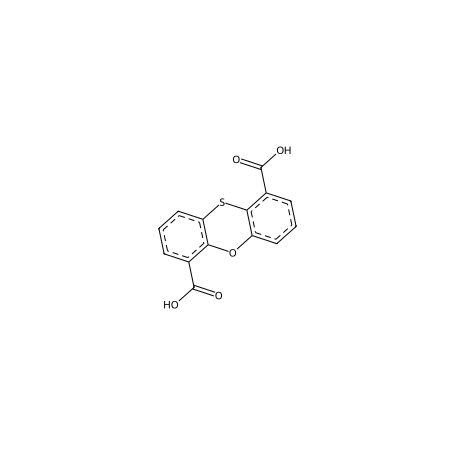 O=C(O)c1cccc2c1Oc1cccc(C(=O)O)c1S2